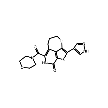 O=C(c1[nH]c(=O)c2sc(-c3cn[nH]c3)c3c2c1CCCO3)N1CCOCC1